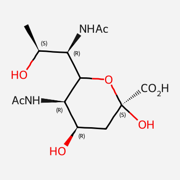 CC(=O)N[C@@H](C1O[C@](O)(C(=O)O)C[C@@H](O)[C@H]1NC(C)=O)[C@H](C)O